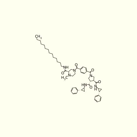 CCCCCCCCCCCCCCNC(=O)[C@H]1CN(C(=O)c2ccc(C(=O)N3C[C@@H](C(=O)N[C@H]4C[C@@H]4c4ccccc4)[C@H](C(=O)N[C@H]4C[C@@H]4c4ccccc4)C3)cc2)CCN1C